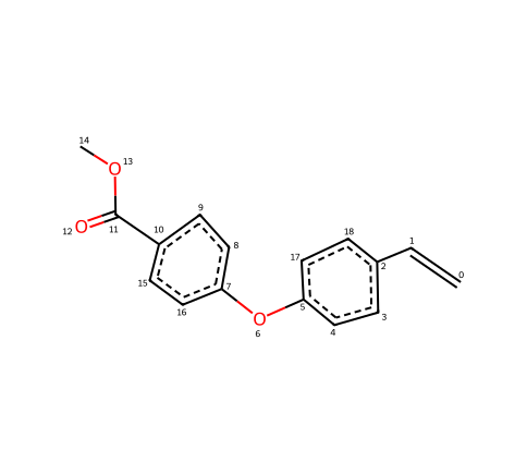 C=Cc1ccc(Oc2ccc(C(=O)OC)cc2)cc1